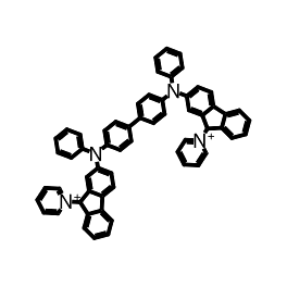 c1ccc(N(c2ccc(-c3ccc(N(c4ccccc4)c4ccc5c(c4)C([n+]4ccccc4)c4ccccc4-5)cc3)cc2)c2ccc3c(c2)C([n+]2ccccc2)c2ccccc2-3)cc1